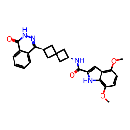 COc1ccc(OC)c2[nH]c(C(=O)N[C@H]3CC4(C3)C[C@H](c3n[nH]c(=O)c5ccccc53)C4)cc12